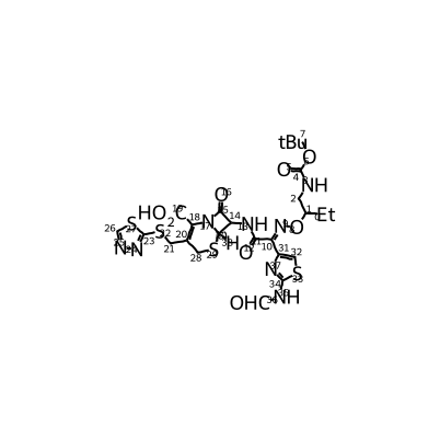 CCC(CNC(=O)OC(C)(C)C)ON=C(C(=O)NC1C(=O)N2C(C(=O)O)=C(CSc3nncs3)CS[C@@H]12)c1csc(NC=O)n1